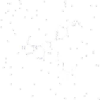 COc1ccc(-c2cc3c(ncc4cnc(C)n43)n2COCC[Si](C)(C)C)cc1